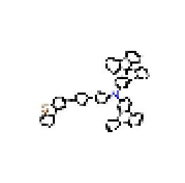 c1ccc2c(c1)-c1ccccc1C21c2ccccc2-c2cc(N(c3ccc(-c4ccc(-c5ccc6sc7ccccc7c6c5)cc4)cc3)c3ccc4c5ccccc5c5ccccc5c4c3)ccc21